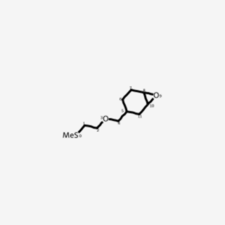 CSCCOCC1CCC2OC2C1